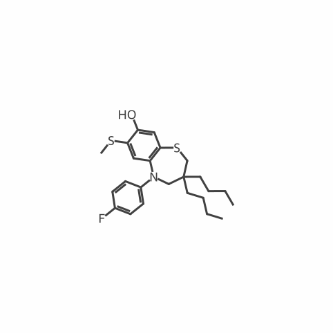 CCCCC1(CCCC)CSc2cc(O)c(SC)cc2N(c2ccc(F)cc2)C1